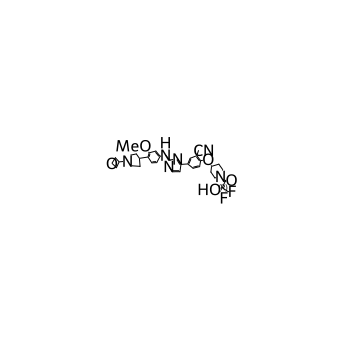 COc1cc(Nc2nccc(-c3ccc(OC4CCN(C(=O)[C@@H](O)C(F)F)CC4)c(C#N)c3)n2)ccc1C1CCN(C2COC2)CC1